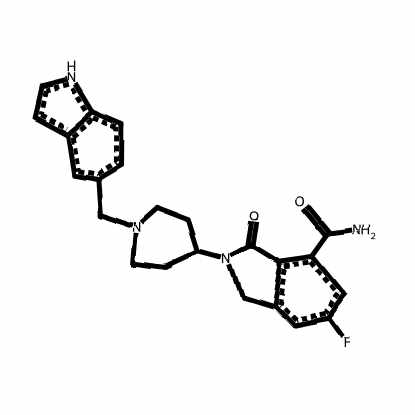 NC(=O)c1cc(F)cc2c1C(=O)N(C1CCN(Cc3ccc4[nH]ccc4c3)CC1)C2